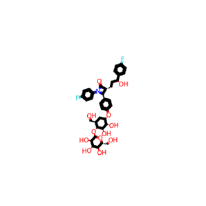 O=C1[C@H](CC[C@H](O)c2ccc(F)cc2)[C@@H](c2ccc(O[C@@H]3C[C@H](CO)[C@@H](O[C@H]4O[C@H](CO)[C@@H](O)[C@H](O)[C@H]4O)[C@@H](O)[C@H]3O)cc2)N1c1ccc(F)cc1